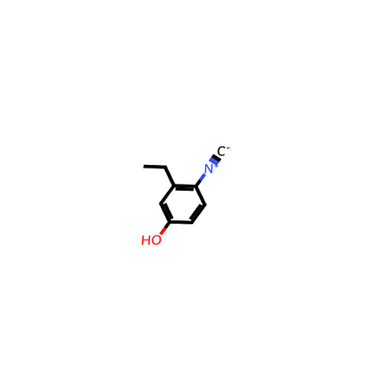 [C-]#[N+]c1ccc(O)cc1CC